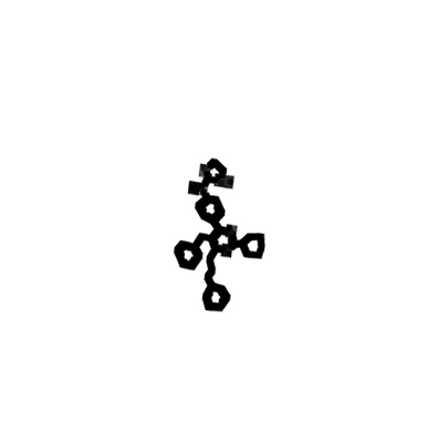 c1ccc(CCCc2nc(C3CCCCC3)nc(-c3ccc(NC4=NCCN4)cc3)c2Cc2ccccc2)cc1